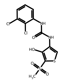 CS(=O)(=O)c1scc(NC(=O)Nc2cccc(Cl)c2Cl)c1O